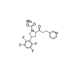 CC(C)(C)OC(=O)N1CC(c2c(F)c(F)cc(F)c2F)CC1C(=O)CCc1cccnc1